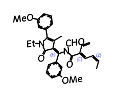 C=C/C(=C\C=C/C)C(=O)N(C=O)/C(=C1/C(=O)N(CC)C(c2cccc(OC)c2)=C1C)c1cccc(OC)c1